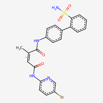 C/C(=C/C(=O)Nc1ccc(Br)cn1)C(=O)Nc1ccc(-c2ccccc2S(N)(=O)=O)cc1